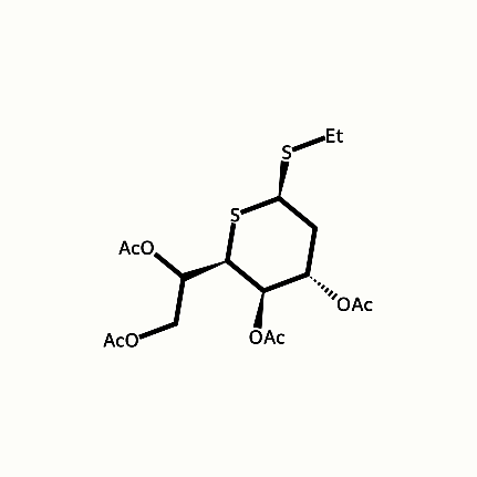 CCS[C@H]1C[C@H](OC(C)=O)[C@@H](OC(C)=O)[C@@H](C(COC(C)=O)OC(C)=O)S1